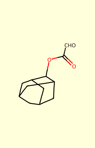 O=CC(=O)OC1C2CC3CC(C2)CC1C3